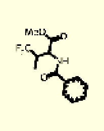 COC(=O)C(NC(=O)c1ccccc1)C(C)C(F)(F)F